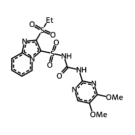 CCS(=O)(=O)c1nc2ccccn2c1S(=O)(=O)NC(=O)Nc1ncc(OC)c(OC)n1